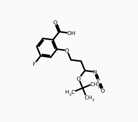 CC(C)(C)OC(CCOc1cc(F)ccc1C(=O)O)N=C=O